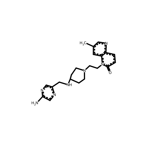 Cc1cnc2ccc(=O)n(CCN3CCC(NCc4cnc(N)cn4)CC3)c2c1